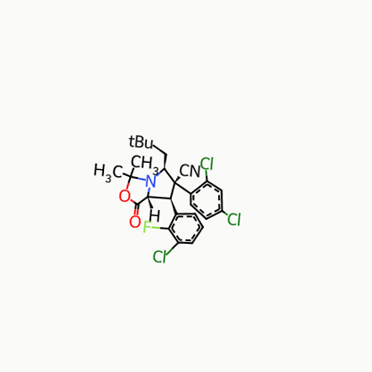 CC(C)(C)C[C@@H]1N2[C@@H](C(=O)OC2(C)C)[C@H](c2cccc(Cl)c2F)[C@@]1(C#N)c1ccc(Cl)cc1Cl